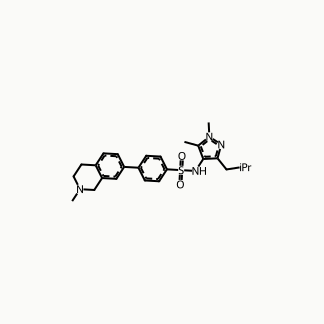 Cc1c(NS(=O)(=O)c2ccc(-c3ccc4c(c3)CN(C)CC4)cc2)c(CC(C)C)nn1C